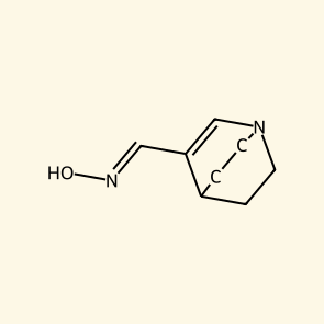 ON=CC1=CN2CCC1CC2